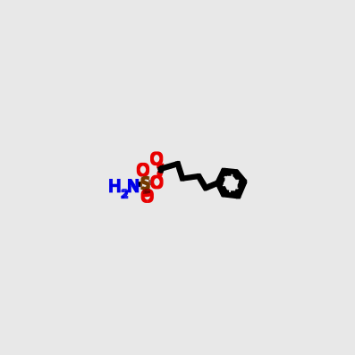 NS(=O)(=O)OC(=O)CCCCc1ccccc1